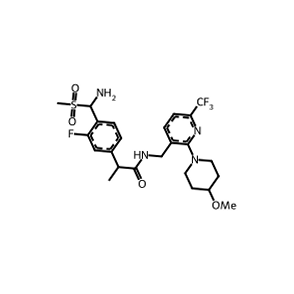 COC1CCN(c2nc(C(F)(F)F)ccc2CNC(=O)C(C)c2ccc(C(N)S(C)(=O)=O)c(F)c2)CC1